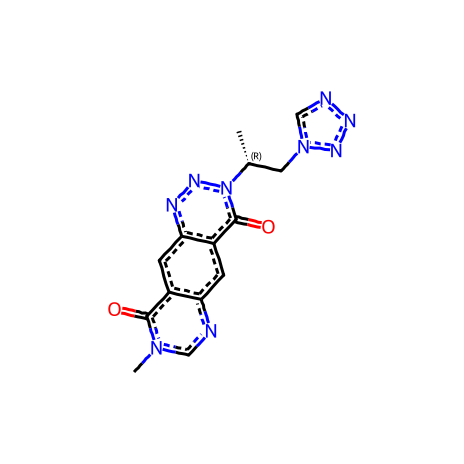 C[C@H](Cn1cnnn1)n1nnc2cc3c(=O)n(C)cnc3cc2c1=O